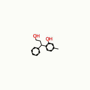 Cc1ccc(C(CCO)c2ccccc2)c(O)c1